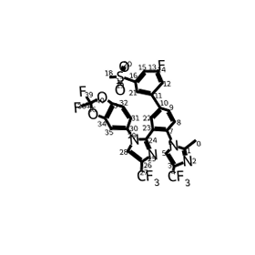 Cc1nc(C(F)(F)F)cn1-c1ccc(-c2cc(F)cc(S(C)(=O)=O)c2)cc1-c1nc(C(F)(F)F)cn1-c1ccc2c(c1)OC(F)(F)O2